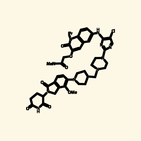 CNC(=O)COc1cc2cc(Nc3nc(N4CCN(CC5CCN(c6ccc7c(c6OC)CN(C6CCC(=O)NC6=O)C7=O)CC5)CC4)ncc3Cl)ccc2n(C(C)C)c1=O